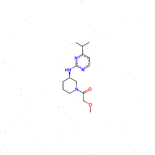 COCC(=O)N1CCC[C@@H](Nc2nccc(C(C)C)n2)C1